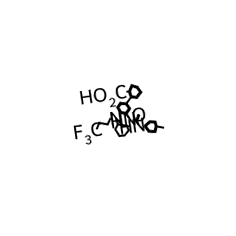 Cc1ccc(NC(=O)Nc2cc(-c3ccccc3C(=O)O)ccc2N(CCCC(F)(F)F)C2CCCCC2)cc1